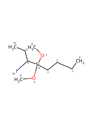 CCCC[Si](OC)(OC)C(I)CC